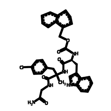 CC(Cc1ccc(Cl)cc1)(NC(=O)[C@H](Cc1c[nH]c2ccccc12)NC(=O)OCc1cccc2ccccc12)C(=O)NCC(N)=O